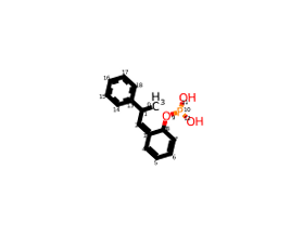 CC(C=C1C=CC=CC1OP(O)O)c1ccccc1